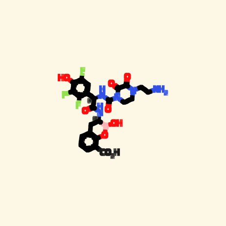 NCCN1CCN(C(=O)N[C@@H](C(=O)N[C@H]2Cc3cccc(C(=O)O)c3OB2O)c2cc(F)c(O)c(F)c2F)C(=O)C1=O